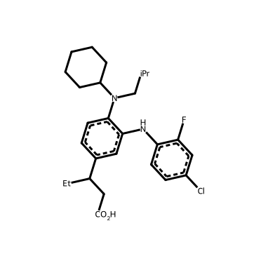 CCC(CC(=O)O)c1ccc(N(CC(C)C)C2CCCCC2)c(Nc2ccc(Cl)cc2F)c1